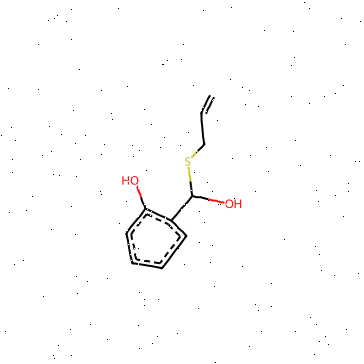 C=CCSC(O)c1ccccc1O